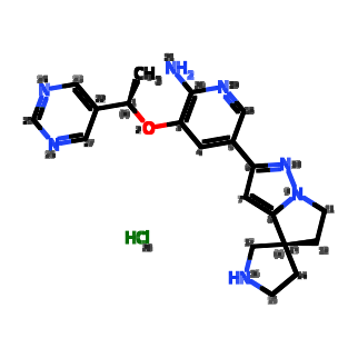 C[C@@H](Oc1cc(-c2cc3n(n2)CC[C@]32CCNC2)cnc1N)c1cncnc1.Cl